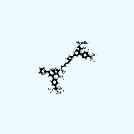 CCCC[S+]([O-])c1sc2nc(-c3nc(CCCC[S+]([O-])c4sc5nc(-c6nccs6)cc(-c6ccc(C(C)(C)O)cc6)c5c4N)cs3)cc(-c3ccc(C(C)O)cc3)c2c1N